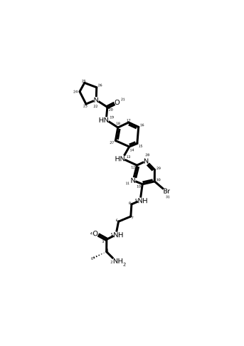 C[C@@H](N)C(=O)NCCCNc1nc(Nc2cccc(NC(=O)N3CCCC3)c2)ncc1Br